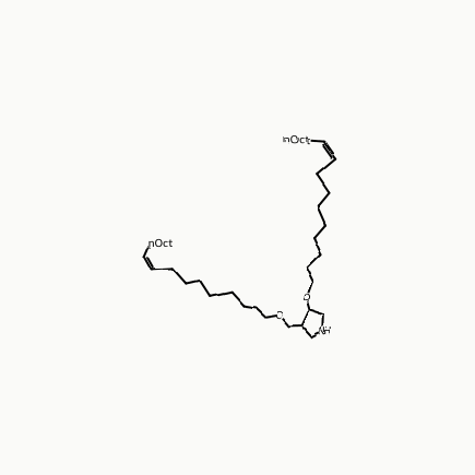 CCCCCCCC/C=C\CCCCCCCCOCC1CNCC1OCCCCCCCC/C=C\CCCCCCCC